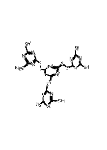 Sc1nc(S)nc(SSc2nc(SSc3nc(S)nc(S)n3)nc(SSc3nc(S)nc(S)n3)n2)n1